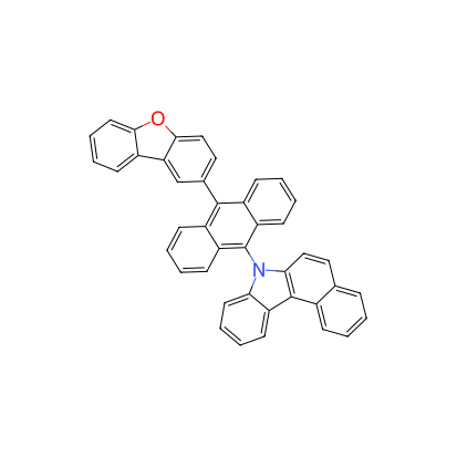 c1ccc2c(c1)ccc1c2c2ccccc2n1-c1c2ccccc2c(-c2ccc3oc4ccccc4c3c2)c2ccccc12